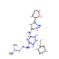 CN(C)CCNc1nc(Nc2cc(-c3ccco3)[nH]n2)nc(Sc2ccccc2)n1